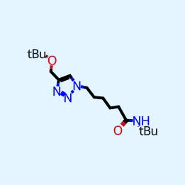 CC(C)(C)NC(=O)CCCCCn1cc(COC(C)(C)C)nn1